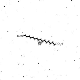 CCCCCCCCCCCCCCCCCCCCCCCCCCC(=O)O.[Ag].[Ag]